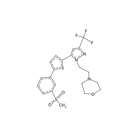 CS(=O)(=O)c1cccc(-c2ccc(-c3cc(C(F)(F)F)nn3CCN3CCOCC3)s2)c1